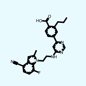 CCCc1cc(-c2cc(NCCn3c(C)cc4c(C#N)ccc(F)c43)ncn2)ccc1C(=O)O